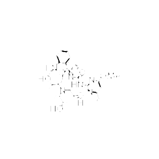 COc1cc(C)nc(NC(=O)NS(=O)(=O)c2ccccc2N)n1.OCCN(CCO)CCO